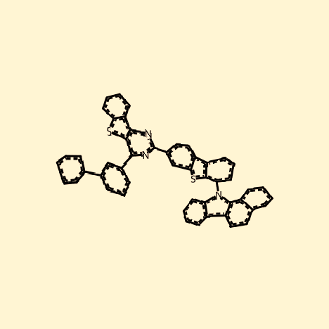 c1ccc(-c2cccc(-c3nc(-c4ccc5c(c4)sc4c(-n6c7ccccc7c7ccc8ccccc8c76)cccc45)nc4c3sc3ccccc34)c2)cc1